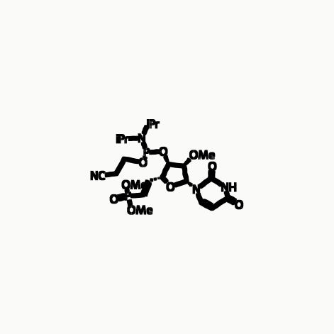 CO[C@@H]1[C@H](OP(OCCC#N)N(C(C)C)C(C)C)[C@@H](/C=C/P(=O)(OC)OC)O[C@H]1n1ccc(=O)[nH]c1=O